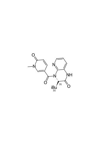 CC[C@H](C)[C@H]1C(=O)Nc2cccnc2N1C(=O)c1ccc(=O)n(C)c1